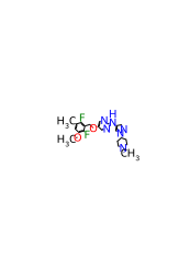 COc1cc(C)c(F)c(COc2cnc(Nc3cnn(C4CCN(C)CC4)c3)nc2)c1F